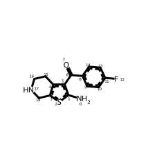 Nc1sc2c(c1C(=O)c1ccc(F)cc1)CCNC2